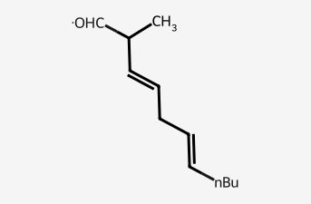 CCCCC=CCC=CC(C)[C]=O